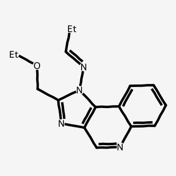 [CH2]C/C=N/n1c(COCC)nc2cnc3ccccc3c21